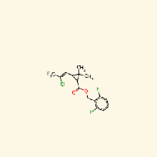 CC1(C)C(C=C(Cl)C(F)(F)F)C1C(=O)OCc1c(F)cccc1F